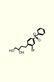 O=S(=O)(c1ccccc1)c1ccc(CC[C@@H](O)CO)c(Br)c1